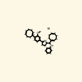 COc1cc(C2=NC(C([Se]c3ccccc3)C3=CCCC=CCC3)CC2)ccc1C1=CCCC=CCC1.[Ni]